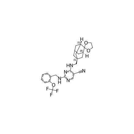 N#Cc1cnc(NCc2ccccc2OC(F)(F)F)nc1NC[C@]12CC3C[C@H](C1)C1(OCCO1)[C@@H](C3)C2